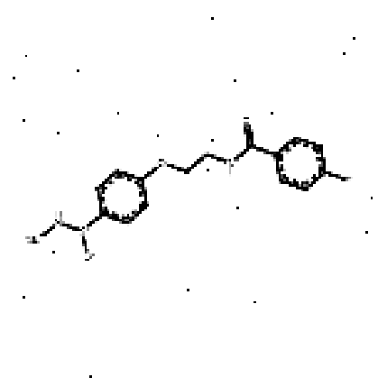 CC(C)(C)N[S+]([O-])c1ccc(OCCNC(=O)c2ccc(F)cc2)cc1